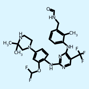 Cc1c(CNC=O)cccc1Nc1nc(Nc2ccc(N3CCNC(C)(C)C3)cc2OC(F)F)ncc1C(F)(F)F